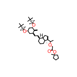 C=C1/C(=C\C=C2/CCC[C@]3(C)C(C(C)OCC(=O)OC4(C)CCCC4)=CC[C@@H]23)C[C@@H](O[Si](C)(C)C(C)(C)C)C[C@@H]1O[Si](C)(C)C(C)(C)C